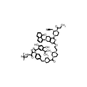 CCC(=O)N1CCN(c2nc(OCCN3CCN(C(=O)C4CCN(Cc5ccc(-n6c(C(=O)NCC(F)(F)F)nnc6-c6cc(C(C)C)c(O)cc6O)cc5)CC4)CC3)nc3c2CCN(c2cccc4cccc(Cl)c24)C3)C[C@@H]1CC#N